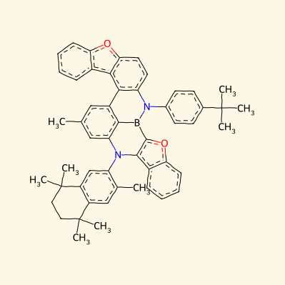 Cc1cc2c3c(c1)N(c1cc4c(cc1C)C(C)(C)CCC4(C)C)c1c(oc4ccccc14)B3N(c1ccc(C(C)(C)C)cc1)c1ccc3oc4ccccc4c3c1-2